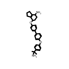 CC(C)(N)c1ccc(Oc2ccc(-c3ccc(OC4CCC(N)C5=C4CCC5)cc3)cc2)cc1